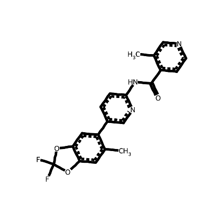 Cc1cnccc1C(=O)Nc1ccc(-c2cc3c(cc2C)OC(F)(F)O3)cn1